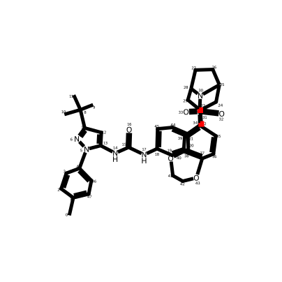 Cc1ccc(-n2nc(C(C)(C)C)cc2NC(=O)Nc2ccc(CC3CC4CCC(C3)N4S(=O)(=O)c3ccc4c(c3)OCCO4)cc2)cc1